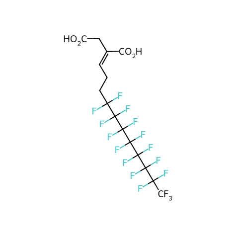 O=C(O)CC(=CCCC(F)(F)C(F)(F)C(F)(F)C(F)(F)C(F)(F)C(F)(F)C(F)(F)C(F)(F)F)C(=O)O